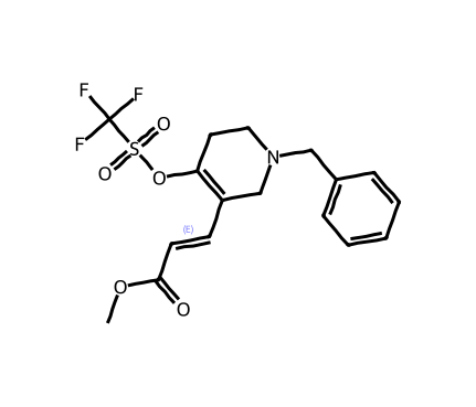 COC(=O)/C=C/C1=C(OS(=O)(=O)C(F)(F)F)CCN(Cc2ccccc2)C1